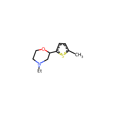 CCN1CCOC(c2ccc(C)s2)C1